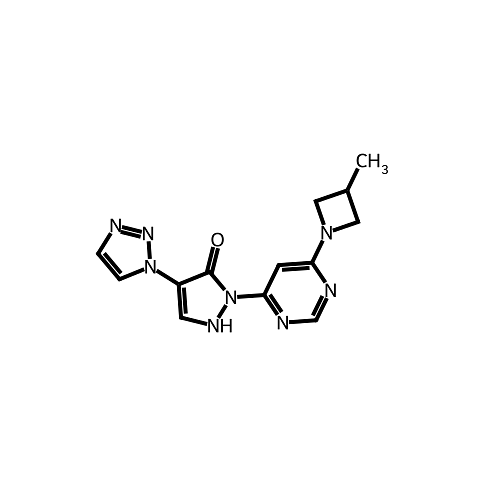 CC1CN(c2cc(-n3[nH]cc(-n4ccnn4)c3=O)ncn2)C1